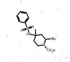 CC1(NS(=O)(=O)c2ccccc2)CCN(C(=O)O)C(C(C)(C)C)C1